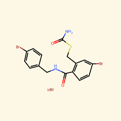 Br.NC(=O)SCc1cc(Br)ccc1C(=O)NCc1ccc(Br)cc1